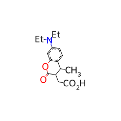 CCN(CC)c1ccc2c(c1)OC(=O)C(CC(=O)O)C2C